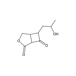 CC(O)CC1C(=O)C2C(=O)OCC12